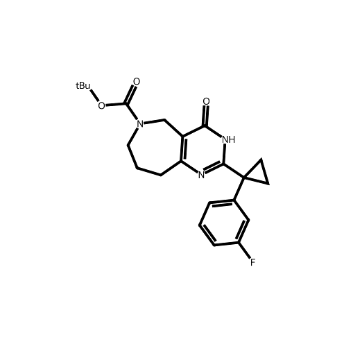 CC(C)(C)OC(=O)N1CCCc2nc(C3(c4cccc(F)c4)CC3)[nH]c(=O)c2C1